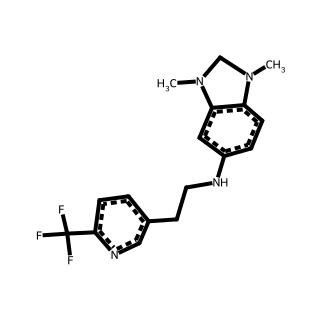 CN1CN(C)c2cc(NCCc3ccc(C(F)(F)F)nc3)ccc21